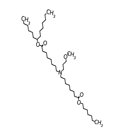 CCCCCCCOC(=O)CCCCCCCN(CCCCCCCC(=O)OC(CCCCCC)CCCCCCC)CCCOC